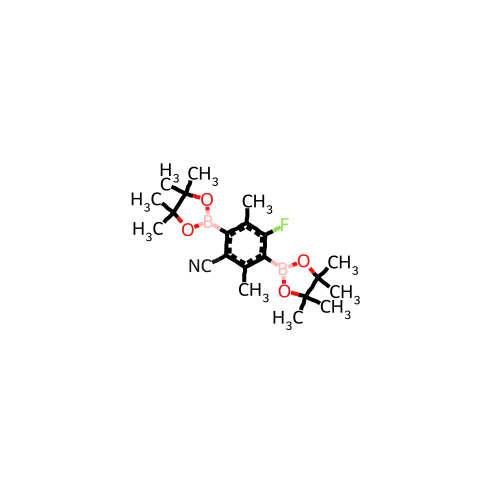 Cc1c(C#N)c(B2OC(C)(C)C(C)(C)O2)c(C)c(F)c1B1OC(C)(C)C(C)(C)O1